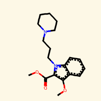 COC(=O)c1c(OC)c2ccccc2n1CCCN1CCCCC1